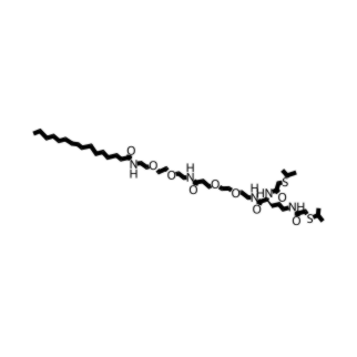 CCCCCCCCCCCCCCCC(=O)NCCOCCOCCNC(=O)CCOCCOCCNC(=O)[C@H](CCCNC(=O)CSC(C)C)NC(=O)CSC(C)C